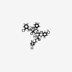 COc1ccc(C[C@@H](NC(=O)CCc2c[nH]cn2)C(=O)N2CCC3(CC2)C(=O)N(Cc2ccccc2Cl)CN3c2ccccc2)cc1